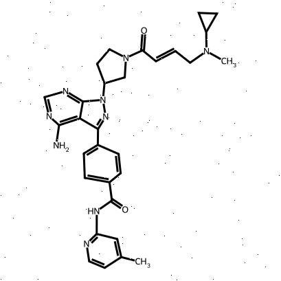 Cc1ccnc(NC(=O)c2ccc(-c3nn(C4CCN(C(=O)C=CCN(C)C5CC5)C4)c4ncnc(N)c34)cc2)c1